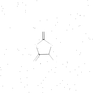 [CH2]C1NC(=O)NC1=O